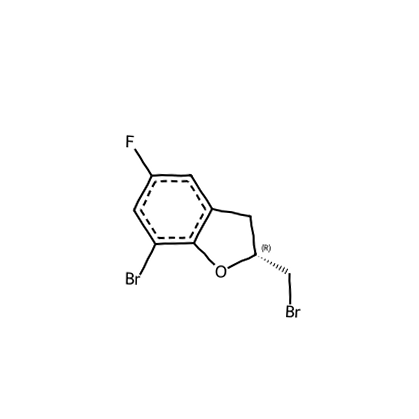 Fc1cc(Br)c2c(c1)C[C@H](CBr)O2